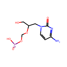 Nc1ccn(CC(CO)OCO[PH](=O)O)c(=O)n1